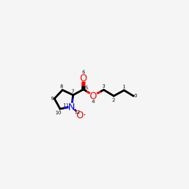 CCCCOC(=O)C1CCCN1[O]